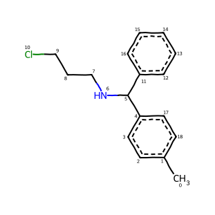 Cc1ccc(C(NCCCCl)c2ccccc2)cc1